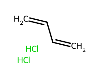 C=CC=C.Cl.Cl